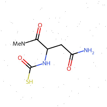 CNC(=O)C(CC(N)=O)NC(=O)S